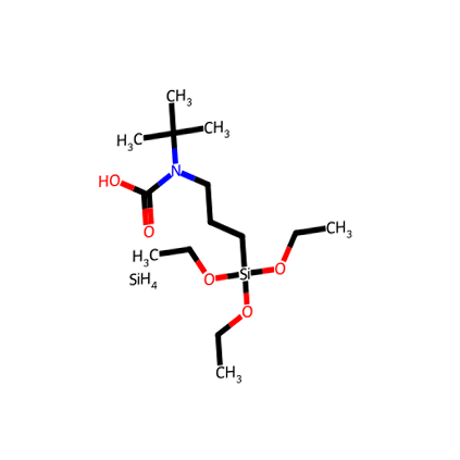 CCO[Si](CCCN(C(=O)O)C(C)(C)C)(OCC)OCC.[SiH4]